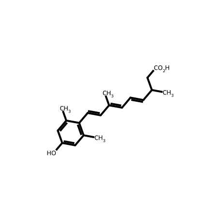 CC(/C=C/c1c(C)cc(O)cc1C)=C\C=C\C(C)CC(=O)O